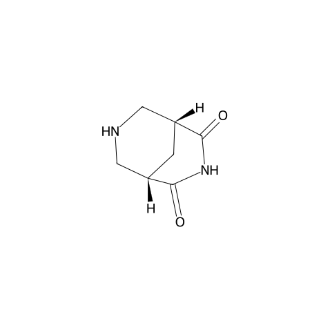 O=C1NC(=O)[C@H]2CNC[C@@H]1C2